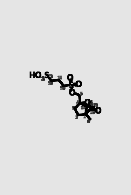 CC12CCC(COS(=O)(=O)CCCS(=O)(=O)O)(OC1=O)C2(C)C